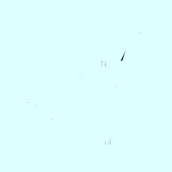 CCCCc1cc(OC(F)(F)F)cc(S(=O)(=O)N(C)C[C@H]2CO2)c1